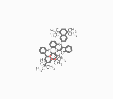 CC(C)(C)c1cc(-c2ccccc2N2c3ccccc3B3c4oc5ccccc5c4N(c4ccc5c(c4)C(C)(C)CCC5(C)C)c4cccc2c43)cc(C(C)(C)C)c1